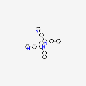 c1ccc(-c2ccc(-c3cc(-c4ccc(-c5ccccn5)cc4)c4ccc5c(-c6ccc(-c7ccccn7)cc6)cc(-c6ccc7ccccc7c6)nc5c4n3)cc2)cc1